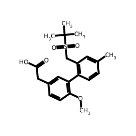 COc1ccc(CC(=O)O)cc1-c1ccc(C)cc1CS(=O)(=O)C(C)(C)C